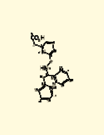 O=C(O)Cc1cccc(CNC(Cc2ccccn2)c2ccccn2)n1